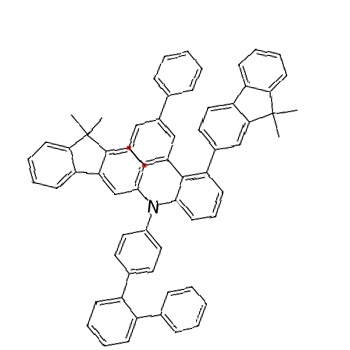 CC1(C)c2ccccc2-c2cc(N(c3ccc(-c4ccccc4-c4ccccc4)cc3)c3cccc(-c4ccc5c(c4)C(C)(C)c4ccccc4-5)c3-c3cccc(-c4ccccc4)c3)ccc21